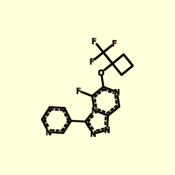 Fc1c(OC2(C(F)(F)F)CCC2)ncc2nnc(-c3cccnc3)n12